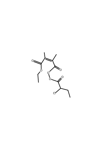 CCOC(=O)C(C)=C(C)C(=O)OOC(=O)C(Cl)CC